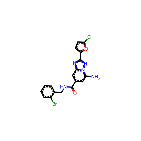 Nc1cc(C(=O)NCc2ccccc2Br)cc2nc(-c3ccc(Cl)o3)nn12